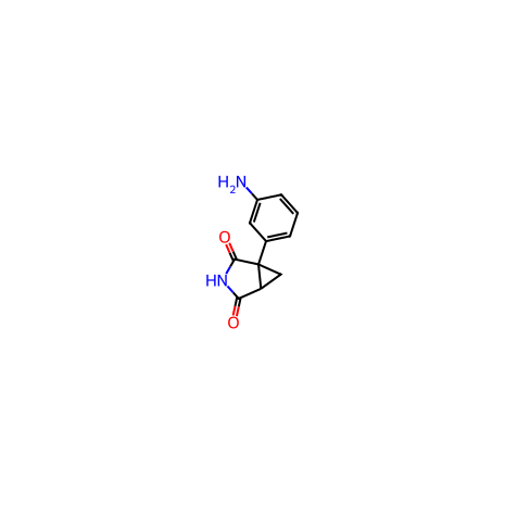 Nc1cccc(C23CC2C(=O)NC3=O)c1